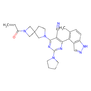 C=CC(=O)N1CC2(CCN(c3nc(N4CCCC4)nc(-c4c(C)ccc5[nH]ncc45)c3C#N)C2)C1